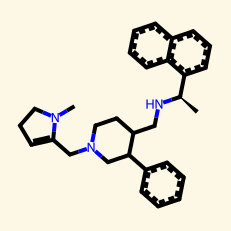 C[C@@H](NCC1CCN(CC2=CCCN2C)CC1c1ccccc1)c1cccc2ccccc12